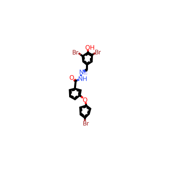 O=C(N/N=C/c1cc(Br)c(O)c(Br)c1)c1cccc(Oc2ccc(Br)cc2)c1